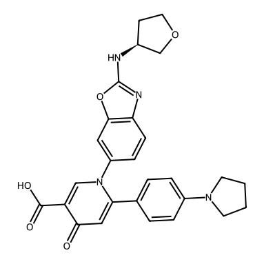 O=C(O)c1cn(-c2ccc3nc(N[C@H]4CCOC4)oc3c2)c(-c2ccc(N3CCCC3)cc2)cc1=O